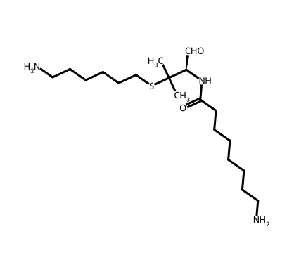 CC(C)(SCCCCCCN)[C@@H](C=O)NC(=O)CCCCCCCN